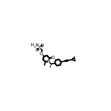 Cc1cc(OCS(N)(=O)=O)cc(=O)n1[C@H](C)c1ccc(C#CC2CC2)cc1